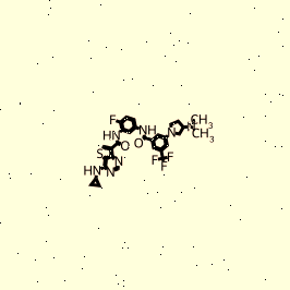 CN(C)C1CCN(c2cc(C(=O)Nc3ccc(F)c(NC(=O)c4csc5c(NC6CC6)ncnc45)c3)cc(C(F)(F)F)c2)C1